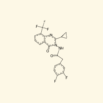 O=C(Cc1ccc(F)c(F)c1)Nn1c(C2CC2)nc2c(C(F)(F)F)cccc2c1=O